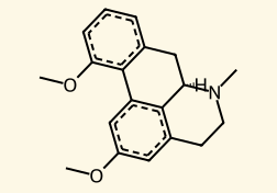 COc1cc2c3c(c1)-c1c(cccc1OC)C[C@H]3N(C)CC2